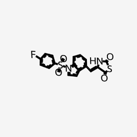 O=C1NC(=Cc2cccc3c2ccn3S(=O)(=O)c2ccc(F)cc2)C(=O)S1